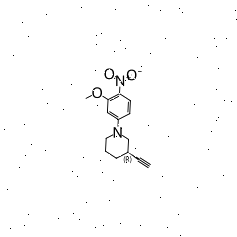 C#C[C@H]1CCCN(c2ccc([N+](=O)[O-])c(OC)c2)C1